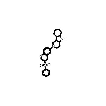 O=S(=O)(c1ccccc1)c1cnc2ccc(N3CCC4NC5CCCCC5C4C3)cc2c1